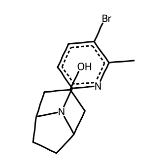 Cc1nc(N2C3CCC2CC(O)C3)ccc1Br